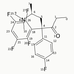 CCC(=O)[C@](C[C@H](C)N(C)C)(c1ccc(F)cc1)c1c(F)c(F)cc(F)c1F